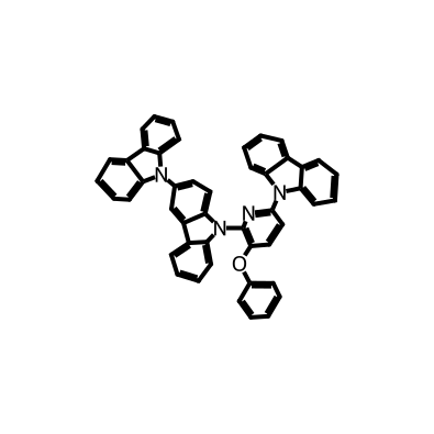 c1ccc(Oc2ccc(-n3c4ccccc4c4ccccc43)nc2-n2c3ccccc3c3cc(-n4c5ccccc5c5ccccc54)ccc32)cc1